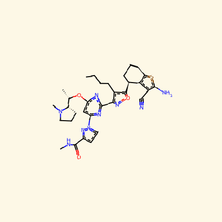 CCCCc1c(-c2nc(O[C@@H](C)[C@@H]3CCCN3C)cc(-n3ccc(C(=O)NC)n3)n2)noc1[C@H]1CCCc2sc(N)c(C#N)c21